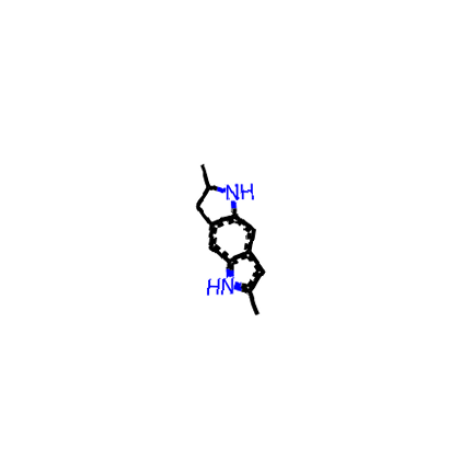 Cc1cc2cc3c(cc2[nH]1)CC(C)N3